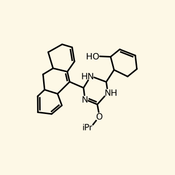 CC(C)OC1=NC(C2=C3C=CCCC3CC3C=CC=CC23)NC(C2CCC=CC2O)N1